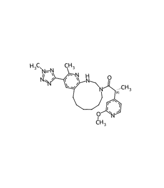 COc1cc([C@@H](C)C(=O)N2CCCCCCc3cc(-c4nnn(C)n4)c(C)nc3NC2)ccn1